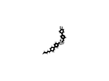 CC=CCCC1CCC(c2ccc(COC(F)(F)Cc3ccc(C4CCC(CC)CC4)cc3)cc2)CC1